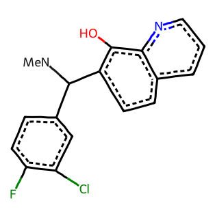 CNC(c1ccc(F)c(Cl)c1)c1ccc2cccnc2c1O